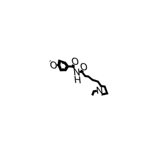 CCN1CCCC1CCCCC(=O)NC(=O)c1ccc(OC)cc1